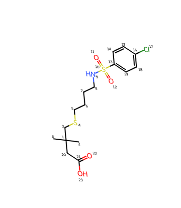 CC(C)(CSCCCCNS(=O)(=O)c1ccc(Cl)cc1)CC(=O)O